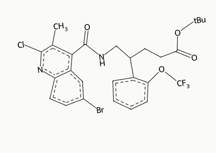 Cc1c(Cl)nc2ccc(Br)cc2c1C(=O)NCC(CCC(=O)OC(C)(C)C)c1ccccc1OC(F)(F)F